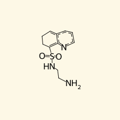 NCCNS(=O)(=O)C1=c2ncccc2=CCC1